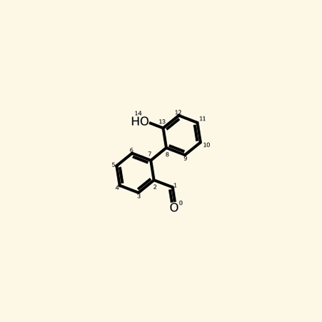 O=Cc1ccccc1-c1ccccc1O